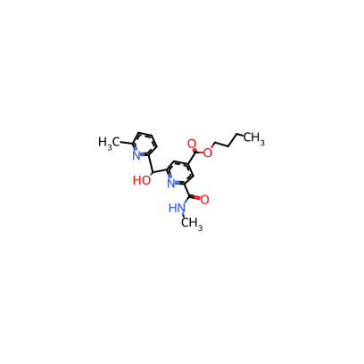 CCCCOC(=O)c1cc(C(=O)NC)nc(C(O)c2cccc(C)n2)c1